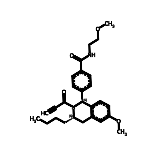 C#CC(=O)N1[C@@H](CCCC)Cc2cc(OC)ccc2[C@@H]1c1ccc(C(=O)NCCOC)cc1